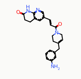 Nc1cccc(CC2=CCN(C(=O)C=Cc3cnc4c(c3)CCC(=O)N4)CC2)c1